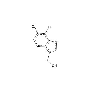 OCc1csc2c(Cl)c(Cl)ccc12